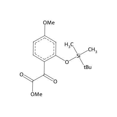 COC(=O)C(=O)c1ccc(OC)cc1O[Si](C)(C)C(C)(C)C